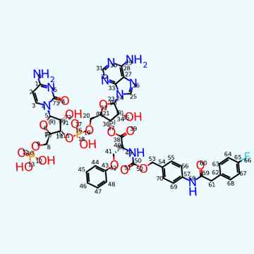 Nc1ccn([C@@H]2O[C@H](COP(=O)(O)O)[C@@H](OP(=O)(O)OC[C@H]3O[C@@H](n4cnc5c(N)ncnc54)[C@H](O)[C@@H]3OC(=O)[C@@H](COc3ccccc3)NC(=O)OCc3ccc(NC(=O)Cc4ccc(F)cc4)cc3)[C@H]2O)c(=O)n1